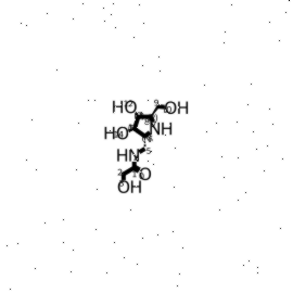 O=C(CO)NC[C@H]1N[C@H](CO)[C@@H](O)[C@@H]1O